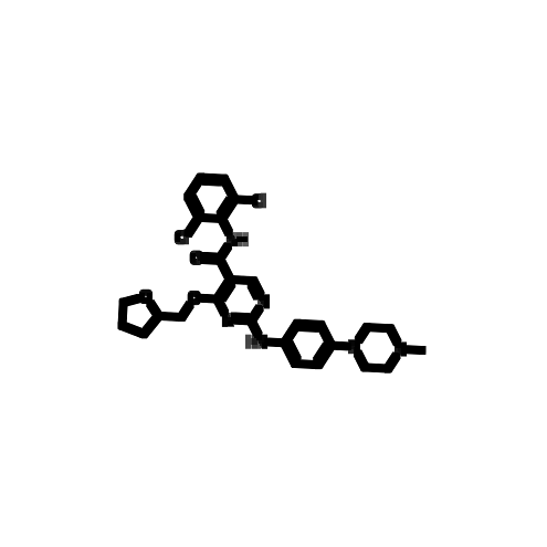 CN1CCN(c2ccc(Nc3ncc(C(=O)Nc4c(Cl)cccc4Cl)c(OCC4CCCO4)n3)cc2)CC1